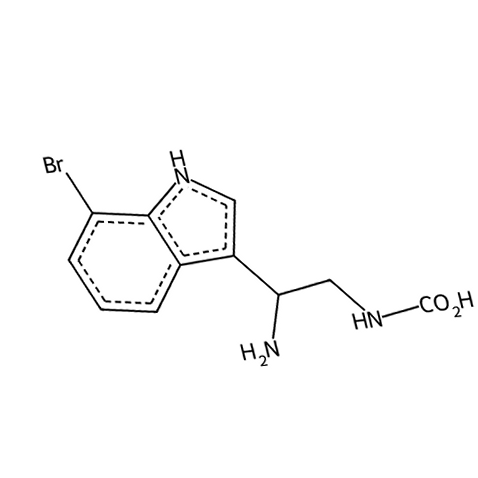 NC(CNC(=O)O)c1c[nH]c2c(Br)cccc12